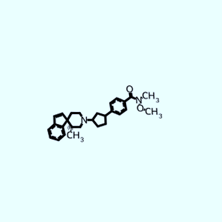 CON(C)C(=O)c1ccc(C2CCC(N3CCC4(C=Cc5ccccc54)[C@@H](C)C3)C2)cc1